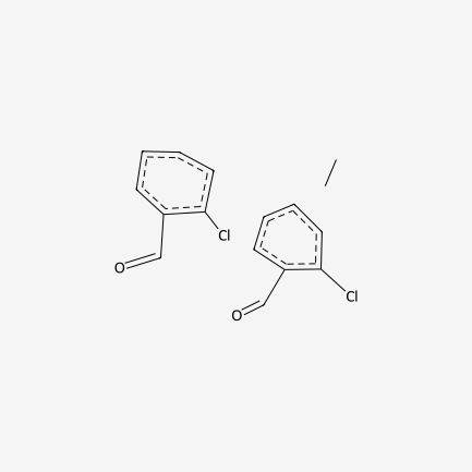 CC.O=Cc1ccccc1Cl.O=Cc1ccccc1Cl